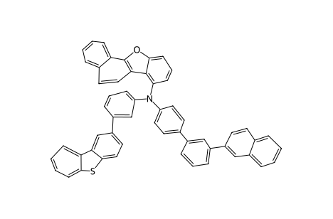 c1cc(-c2ccc(N(c3cccc(-c4ccc5sc6ccccc6c5c4)c3)c3cccc4oc5c6ccccc6ccc5c34)cc2)cc(-c2ccc3ccccc3c2)c1